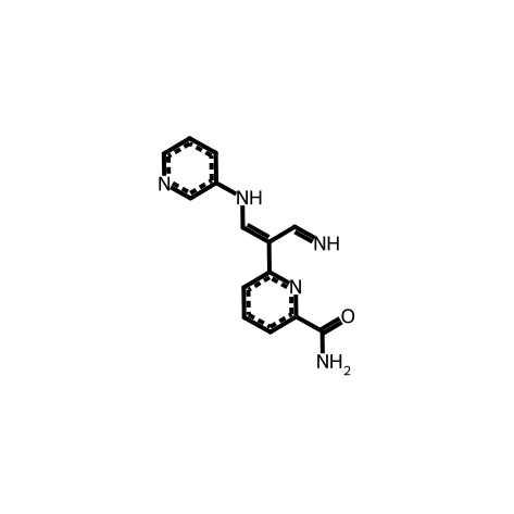 N=C/C(=C\Nc1cccnc1)c1cccc(C(N)=O)n1